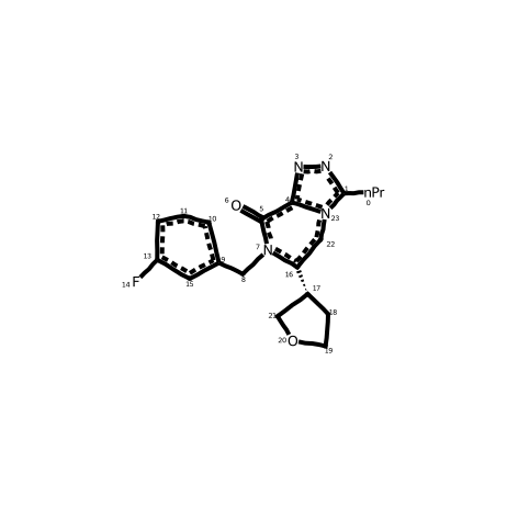 CCCc1nnc2c(=O)n(Cc3cccc(F)c3)c([C@@H]3CCOC3)cn12